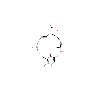 C/C1=C\C=C/[C@H](CO)[C@@H](OC(N)=O)/C(C)=C/[C@H](C)[C@@H](O)[C@@H](CO)C[C@H](C)CC2=C(CO)C(=O)C=C(NC1=O)C2=O